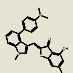 CN(C)c1ccc(-c2cccc3c2c(C=C2Oc4cc(O)cc(O)c4C2=O)cn3C)cc1